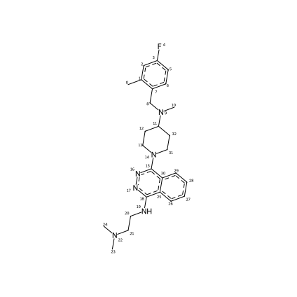 Cc1cc(F)ccc1CN(C)C1CCN(c2nnc(NCCN(C)C)c3ccccc23)CC1